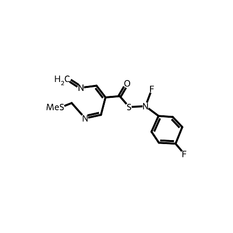 C=N/C=C(\C=N/CSC)C(=O)SN(F)c1ccc(F)cc1